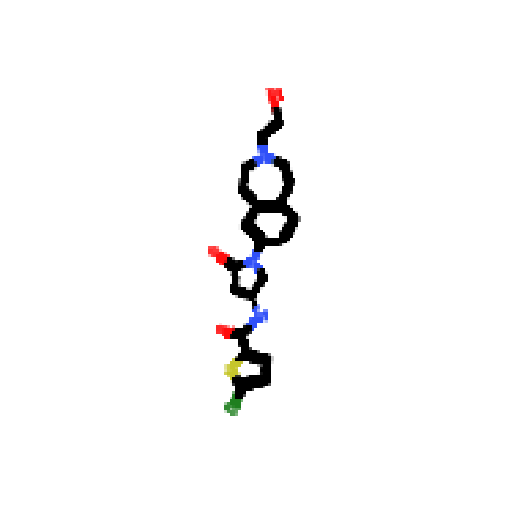 O=C(N[C@@H]1CC(=O)N(c2ccc3c(c2)CCN(CCO)CC3)C1)c1ccc(Cl)s1